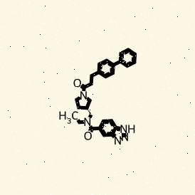 CCN(C[C@@H]1CCN(C(=O)CCc2ccc(-c3ccccc3)cc2)C1)C(=O)c1ccc2[nH]nnc2c1